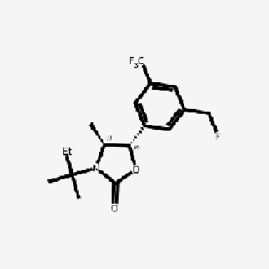 CCC(C)(C)N1C(=O)O[C@@H](c2cc(CF)cc(C(F)(F)F)c2)[C@@H]1C